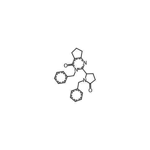 O=C1CCC(c2nc3c(c(=O)n2Cc2ccccc2)CCC3)N1Cc1ccccc1